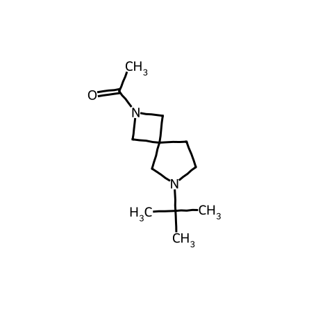 CC(=O)N1CC2(CCN(C(C)(C)C)C2)C1